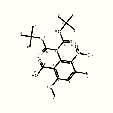 COc1cc(Br)c([N+](=O)[O-])c(N(C(=O)OC(C)(C)C)C(=O)OC(C)(C)C)c1C(=O)O